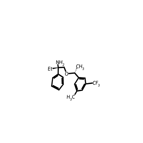 CC[C@@](N)(CO[C@H](C)c1cc(C)cc(C(F)(F)F)c1)c1ccccc1